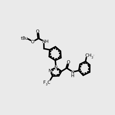 [CH2]c1cccc(NC(=O)c2cc(C(F)(F)F)nn2-c2cccc(CNC(=O)OC(C)(C)C)c2)c1